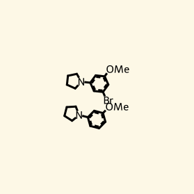 COc1cc(Br)cc(N2CCCC2)c1.COc1cccc(N2CCCC2)c1